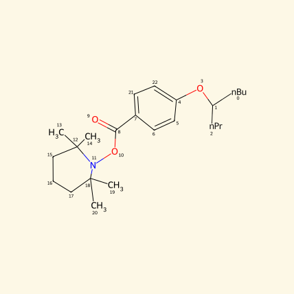 CCCCC(CCC)Oc1ccc(C(=O)ON2C(C)(C)CCCC2(C)C)cc1